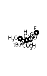 Cc1ccc(-c2c(C)c3c(c(C)c2C(OC(C)(C)C)C(=O)O)CCN(S(=O)(=O)c2cccc(F)c2)C3)cc1